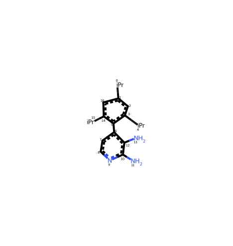 CC(C)c1cc(C(C)C)c(-c2ccnc(N)c2N)c(C(C)C)c1